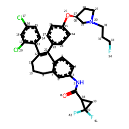 O=C(Nc1ccc2c(c1)CCCC(c1ccc(Cl)cc1Cl)=C2c1ccc(O[C@H]2CCN(CCCF)C2)cc1)C1CC1(F)F